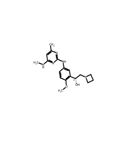 CNc1cc(C)nc(Nc2ccc(OC)c([C@@H](O)CN3CCC3)c2)n1